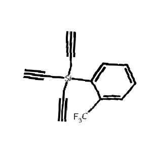 C#C[Si](C#C)(C#C)c1ccccc1C(F)(F)F